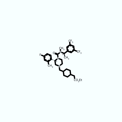 CCOC(=O)CC1CCC(CN2CCN(C(=O)N(C)[C@H](C)c3cc(C(F)(F)F)cc(C(F)(F)F)c3)[C@@H](c3ccc(F)cc3C)C2)CC1